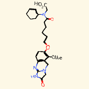 COc1c(OCCCCCC(=O)N(CC(=O)O)C2CCCCC2)ccc2c1CN1CC(=O)NC1=N2